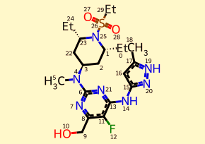 CC[C@@H]1C[C@@H](N(C)c2nc(CO)c(F)c(Nc3cc(C)[nH]n3)n2)C[C@H](CC)N1S(=O)(=O)CC